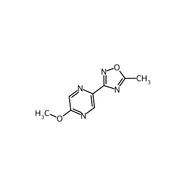 COc1cnc(-c2noc(C)n2)cn1